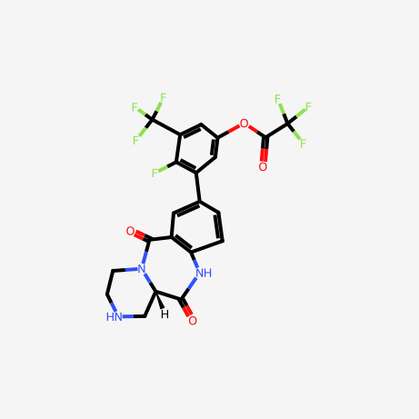 O=C1Nc2ccc(-c3cc(OC(=O)C(F)(F)F)cc(C(F)(F)F)c3F)cc2C(=O)N2CCNC[C@@H]12